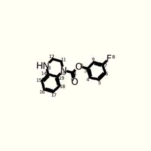 O=C(Oc1cccc(F)c1)N1CCNc2ccccc21